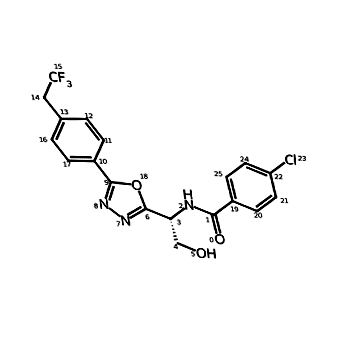 O=C(N[C@H](CO)c1nnc(-c2ccc(CC(F)(F)F)cc2)o1)c1ccc(Cl)cc1